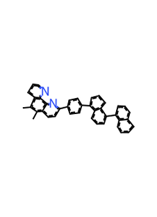 Cc1c(C)c2ccc(-c3ccc(-c4cccc5c(-c6cccc7ccccc67)cccc45)cc3)nc2c2ncccc12